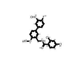 CCCOc1ccc(-c2ccc(F)c(C=O)c2)cc1CNC(=O)c1ccc(Cl)cc1Cl